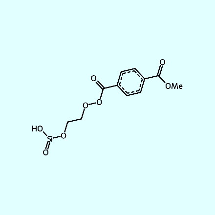 COC(=O)c1ccc(C(=O)OOCCO[Si](=O)O)cc1